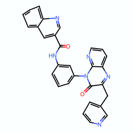 O=C(Nc1cccc(-n2c(=O)c(Cc3cccnc3)nc3cccnc32)c1)c1cnc2ccccc2c1